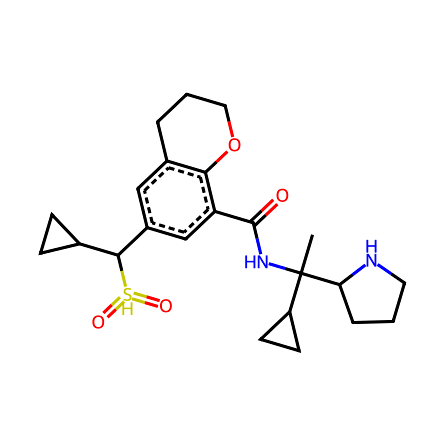 CC(NC(=O)c1cc(C(C2CC2)[SH](=O)=O)cc2c1OCCC2)(C1CC1)C1CCCN1